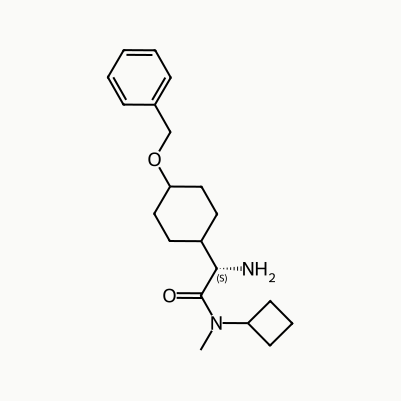 CN(C(=O)[C@@H](N)C1CCC(OCc2ccccc2)CC1)C1CCC1